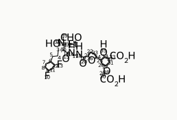 CC[C@H]([C@@H](CCCc1ccc(F)cc1F)C(=O)NCNC(=O)c1ccc(-c2cc(OCC(=O)O)cc(C(=O)O)c2O)o1)N(O)C=O